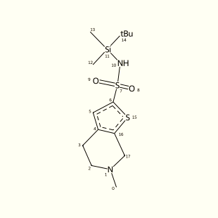 CN1CCc2cc(S(=O)(=O)N[Si](C)(C)C(C)(C)C)sc2C1